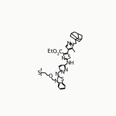 CCOC(=O)c1nc(Nc2ccc(/N=c3\sc4ccccc4n3COCC[Si](C)(C)C)nn2)sc1-c1cnn(CC23CC4CC(CC(C4)C2)C3)c1C